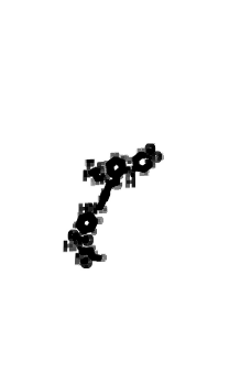 Cc1cc(NS(=O)(=O)c2ccc(NCC#Cc3cc4c(NC5CCS(=O)(=O)CC5)cccc4n3CC(F)(F)F)cc2)no1